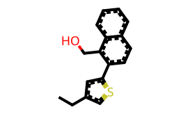 CCc1csc(-c2ccc3ccccc3c2CO)c1